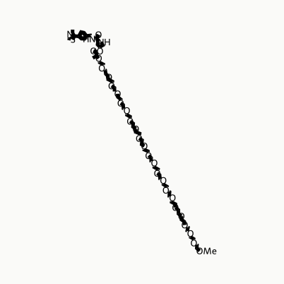 COCCOCCOCCOCCOCCOCCOCCOCCOCCOCCOCCOCCOCCOCCOCCOCCOCCOCCOCCOCCOCCOCCOC(C)C(=O)OC1CNC(C(=O)NCc2ccc(-c3scnc3C)cc2)C1